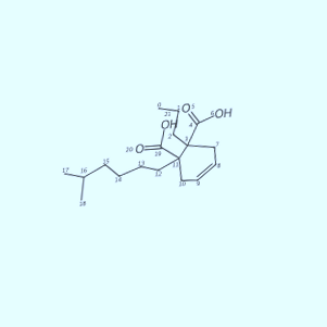 CCCC1(C(=O)O)CC=CCC1(CCCCC(C)C)C(=O)O